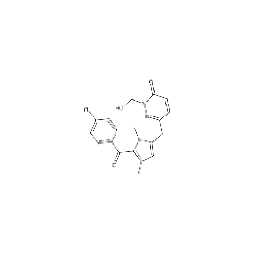 Cc1cc(Cc2ccc(=O)n(CO)n2)n(C)c1C(=O)c1ccc(Cl)cc1